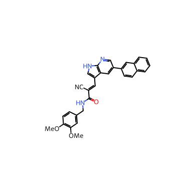 COc1ccc(CNC(=O)/C(C#N)=C/c2c[nH]c3ncc(-c4ccc5ccccc5c4)cc23)cc1OC